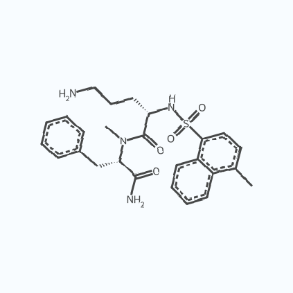 Cc1ccc(S(=O)(=O)N[C@@H](CCCN)C(=O)N(C)[C@@H](Cc2ccccc2)C(N)=O)c2ccccc12